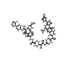 Cc1ncsc1-c1ccc(CNC(=O)[C@@H]2C[C@@H](O)CN2C(=O)[C@@H](NC(=O)CCC(=O)N2CCC(NC(=O)CN3CCN(C(=O)c4ccc(Nc5nc(C6CC6)cn6c(-c7cn[nH]c7)cnc56)c(F)c4)CC3)CC2)C(C)(C)C)cc1